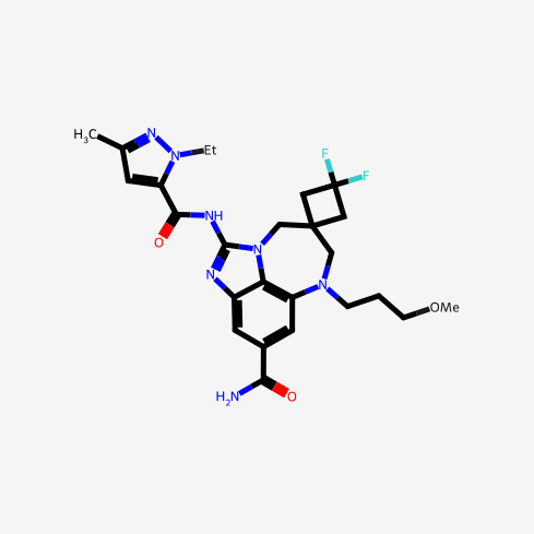 CCn1nc(C)cc1C(=O)Nc1nc2cc(C(N)=O)cc3c2n1CC1(CN3CCCOC)CC(F)(F)C1